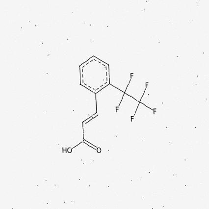 O=C(O)C=Cc1ccccc1C(F)(F)C(F)(F)F